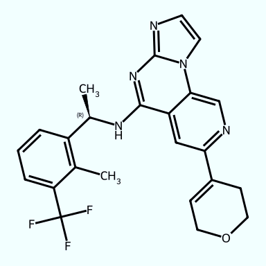 Cc1c([C@@H](C)Nc2nc3nccn3c3cnc(C4=CCOCC4)cc23)cccc1C(F)(F)F